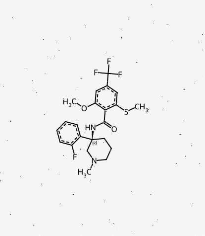 COc1cc(C(F)(F)F)cc(SC)c1C(=O)N[C@@]1(c2ccccc2F)CCCN(C)C1